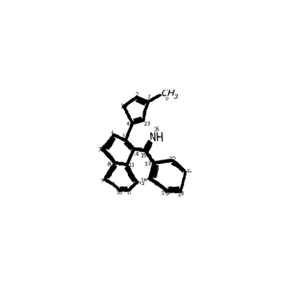 CC1=CCC(c2ccc3ccccc3c2C(=N)c2ccccc2)=C1